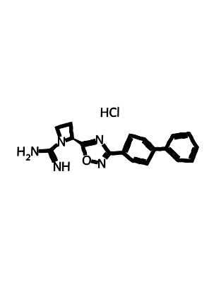 Cl.N=C(N)N1CC[C@H]1c1nc(-c2ccc(-c3ccccc3)cc2)no1